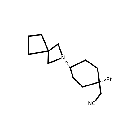 CC[C@]1(CC#N)CC[C@H](N2CC3(CCC3)C2)CC1